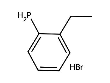 Br.CCc1ccccc1P